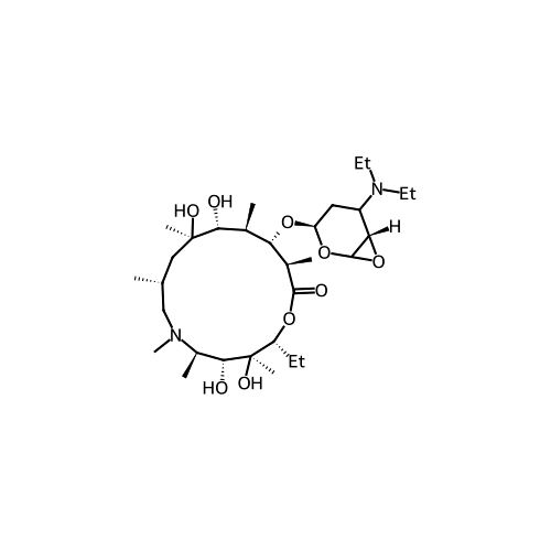 CC[C@H]1OC(=O)[C@H](C)[C@@H](O[C@H]2CC(N(CC)CC)[C@@H]3OC3O2)[C@H](C)[C@@H](O)[C@](C)(O)C[C@@H](C)CN(C)[C@H](C)[C@@H](O)[C@]1(C)O